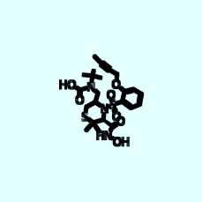 CC#CCOc1ccccc1S(=O)(=O)N1C(CN(C(=O)O)C(C)(C)C)CSC(C)(C)[C@@H]1C(=O)NO